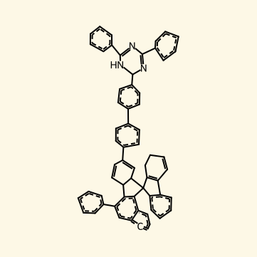 C1=CC2=C(CC1)C1(c3ccccc32)c2c(c(-c3ccccc3)cc3ccccc23)C2C=CC(c3ccc(-c4ccc(C5N=C(c6ccccc6)N=C(c6ccccc6)N5)cc4)cc3)=CC21